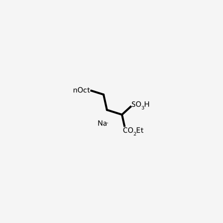 CCCCCCCCCCC(C(=O)OCC)S(=O)(=O)O.[Na]